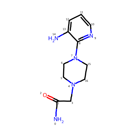 NC(=O)CN1CCN(c2ncccc2N)CC1